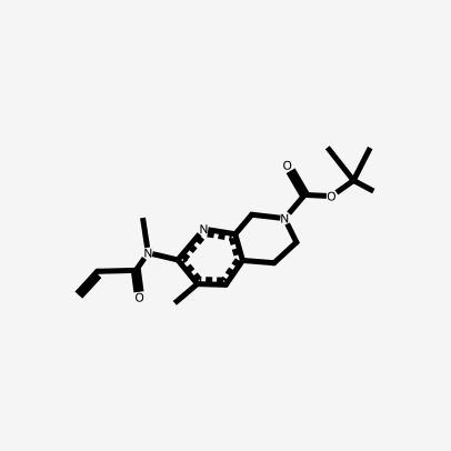 C=CC(=O)N(C)c1nc2c(cc1C)CCN(C(=O)OC(C)(C)C)C2